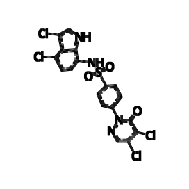 O=c1c(Cl)c(Cl)cnn1-c1ccc(S(=O)(=O)Nc2ccc(Cl)c3c(Cl)c[nH]c23)cc1